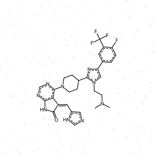 CN(C)CCn1cc(-c2ccc(F)c(C(F)(F)F)c2)nc1C1CCN(c2ncnc3c2/C(=C/c2cnc[nH]2)C(=O)N3)CC1